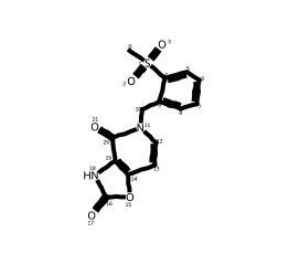 CS(=O)(=O)c1ccccc1Cn1ccc2oc(=O)[nH]c2c1=O